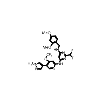 COc1ccc(CNc2cc(Nc3cc(OC(F)(F)F)c(-c4cnn(C)c4)cn3)nc(C(F)F)n2)c(OC)c1